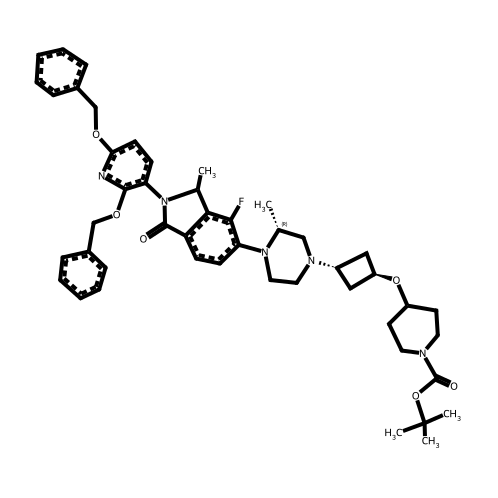 CC1c2c(ccc(N3CCN([C@H]4C[C@H](OC5CCN(C(=O)OC(C)(C)C)CC5)C4)C[C@H]3C)c2F)C(=O)N1c1ccc(OCc2ccccc2)nc1OCc1ccccc1